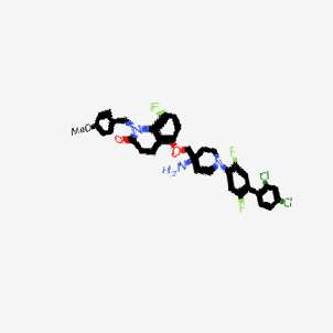 COc1ccc(CN2C(=O)CCc3c(OCC4(N)CCN(c5cc(F)c(-c6ccc(Cl)cc6Cl)cc5F)CC4)ccc(F)c32)cc1